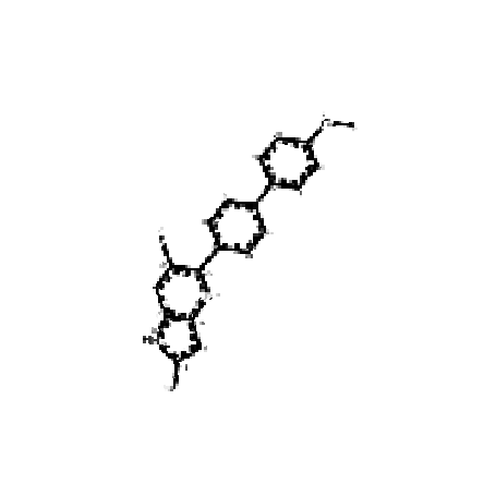 COc1ccc(-c2ccc(-c3nc4cc(C)[nH]c4cc3F)cc2)cc1